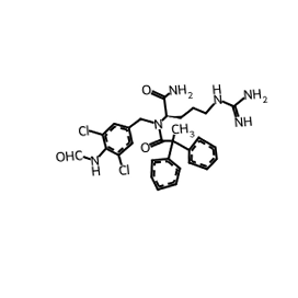 CC(C(=O)N(Cc1cc(Cl)c(NC=O)c(Cl)c1)[C@H](CCCNC(=N)N)C(N)=O)(c1ccccc1)c1ccccc1